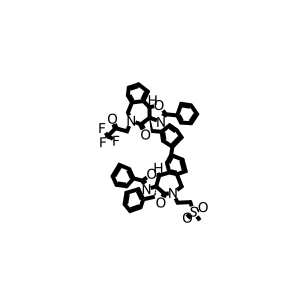 CS(=O)(=O)CCN1Cc2ccc(-c3cccc(C[C@]45N=C(c6ccccc6)O[C@H]4c4ccccc4CN(CC(=O)C(F)(F)F)C5=O)c3)cc2[C@@H]2OC(c3ccccc3)=N[C@]2(Cc2ccccc2)C1=O